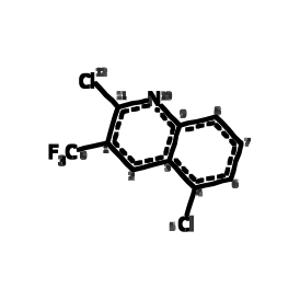 FC(F)(F)c1cc2c(Cl)cccc2nc1Cl